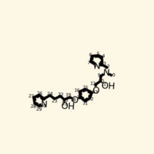 CN(Cc1ccccn1)C[C@@H](O)COc1ccc(OC[C@@H](O)CCCc2ccccn2)cc1